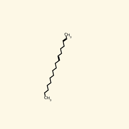 CC=CCCCC=CCCCCCCCCCC